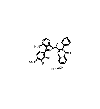 COc1ccc(-c2nn([C@@H](C)c3nc4ccccc4c(=O)n3-c3ccccc3)c3ncnc(N)c23)c(F)c1F.O=S(=O)(O)O